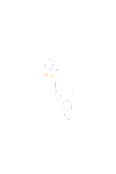 O=C(NCCCS(=O)(=O)c1ncc(C(F)(F)F)cc1Cl)c1cc([N+](=O)[O-])ccc1Cl